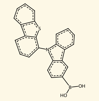 OB(O)c1ccc2c(c1)c1ccccc1n2-c1cccc2c1sc1ccccc12